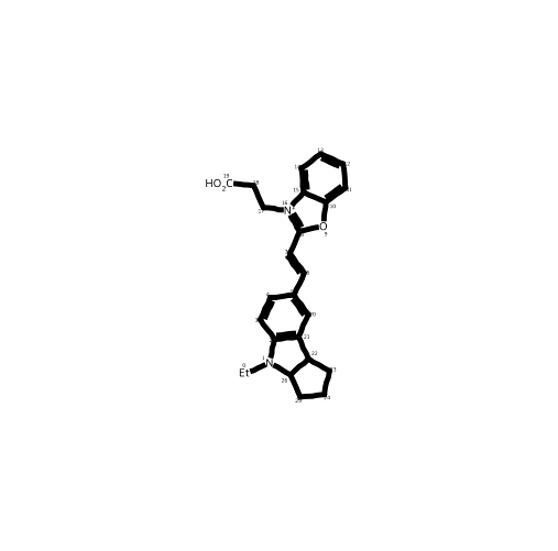 CCN1c2ccc(/C=C/c3oc4ccccc4[n+]3CCC(=O)O)cc2C2CCCC21